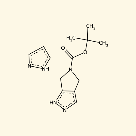 CC(C)(C)OC(=O)N1Cc2cn[nH]c2C1.c1cn[nH]c1